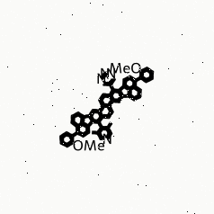 COc1ccccc1-c1ccc2c3c(cccc13)-c1cc3c(ccc4c5cc6c(c(-c7c(C)cncc7C)c5ccc34)-c3ccc(-c4ccccc4OC)c4cccc-6c34)c(-c3cnnnc3)c1-2